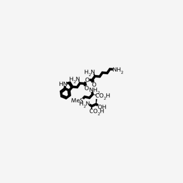 CSCC[C@H](N)C(=O)O.C[C@@H](O)[C@H](N)C(=O)O.NCCCC[C@H](N)C(=O)OC(=O)[C@@H](N)Cc1c[nH]c2ccccc12